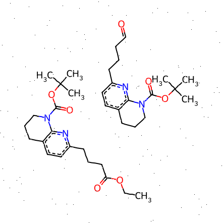 CC(C)(C)OC(=O)N1CCCc2ccc(CCCC=O)nc21.CCOC(=O)CCCc1ccc2c(n1)N(C(=O)OC(C)(C)C)CCC2